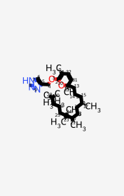 CC1=C(OCc2c[nH]nn2)O[C@](C)(CCC[C@H](C)CCC(C)C(C)(C)CCCC(C)C)C=C1